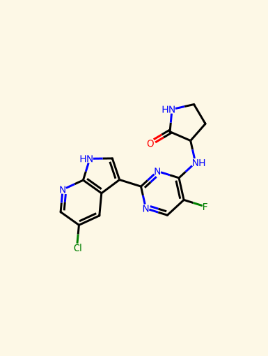 O=C1NCCC1Nc1nc(-c2c[nH]c3ncc(Cl)cc23)ncc1F